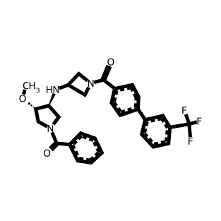 CO[C@H]1CN(C(=O)c2ccccc2)C[C@@H]1NC1CN(C(=O)c2ccc(-c3cccc(C(F)(F)F)c3)cc2)C1